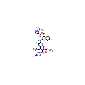 C=C[C@@H](c1ccc(NC(=O)C(NC(=O)c2ccnn2C(C)C)C(C)c2ccc(F)cc2)c(F)c1)[C@@H](NC(=O)CC)C(=O)N1CCN(C)CC1